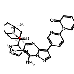 CC(=O)c1c([C@@H]2CC3CC[C@@H](C2)N3C(=O)C2NC=NN2)nc2c(-c3ccc(-n4ccccc4=O)nc3)cnn2c1N